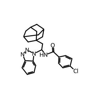 O=C(NC(CC12CC3CC(CC(C3)C1)C2)n1nnc2ccccc21)c1ccc(Cl)cc1